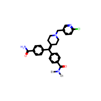 CCN(CC)C(=O)c1ccc(C(=C2CCN(Cc3ccc(Cl)nc3)CC2)c2ccc(C(N)=O)cc2)cc1